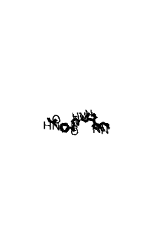 C=CC(=O)Nc1ccc(C(=O)N2CC[C@@H](c3cc4c(-c5cnn6ncccc56)ccnc4[nH]3)C2)cc1